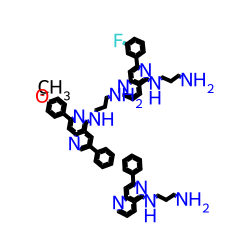 COc1ccc(-c2cc3ncc(-c4ccccc4)cc3c(NCCCN)n2)cc1.NCCCNc1nc(-c2cccc(F)c2)cc2ncccc12.NCCCNc1nc(-c2ccccc2)cc2ncccc12